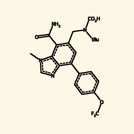 Cn1cnc2c(-c3ccc(OC(F)(F)F)cc3)cc(CN(C(=O)O)C(C)(C)C)c(C(N)=O)c21